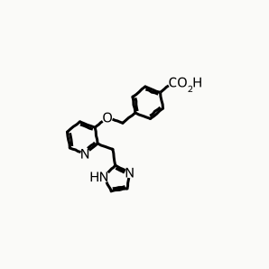 O=C(O)c1ccc(COc2cccnc2Cc2ncc[nH]2)cc1